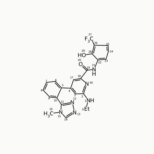 CCNc1cc(-c2ccccc2-c2nncn2C)cc(C(=O)Nc2cccc(C(F)(F)F)c2O)n1